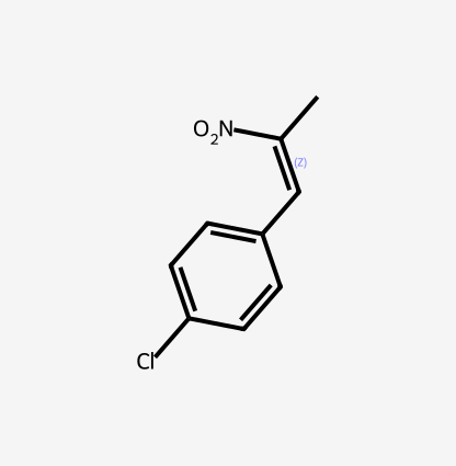 C/C(=C/c1ccc(Cl)cc1)[N+](=O)[O-]